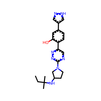 CCC(C)(C)NC1CCN(c2ncc(-c3ccc(-c4cn[nH]c4)cc3O)nn2)C1